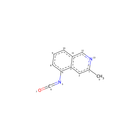 Cc1cc2c(N=C=O)cccc2cn1